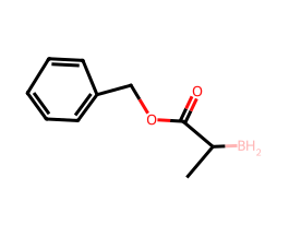 BC(C)C(=O)OCc1ccccc1